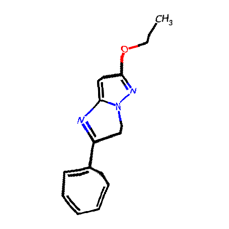 CCOc1cc2n(n1)CC(c1ccccc1)=N2